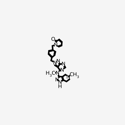 CN1CCc2[nH]nc(N(C)c3ncnc4nn(Cc5ccc(Cn6ccccc6=O)cc5)cc34)c2C1